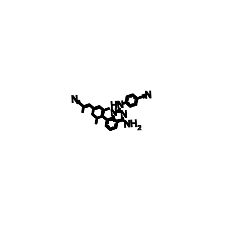 CC1=C(c2cccc3c(N)nc(Nc4ccc(C#N)cc4)nc23)C(C)CC(/C=C(\C)C#N)=C1